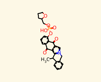 CC1c2ccccc2Cn2cc3c(c21)C(=O)c1cccc(OP(=O)(O)OCC2CCCO2)c1C3=O